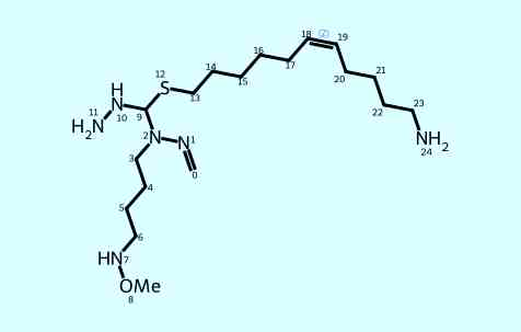 C=NN(CCCCNOC)C(NN)SCCCCC/C=C\CCCCN